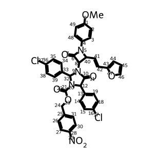 COc1ccc(N2C(=O)C(N3C(=O)C(c4ccc(Cl)cc4)N(C(=O)OCc4ccc([N+](=O)[O-])cc4)C3c3ccc(Cl)cc3)C2C=Cc2ccco2)cc1